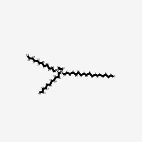 CCCCCCCCCCCCCCCCCCCn1cc[n+](CCCCCCCCCCCC)c1CCCCCCCCCC